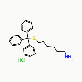 Cl.NCCCCCCSC(c1ccccc1)(c1ccccc1)c1ccccc1